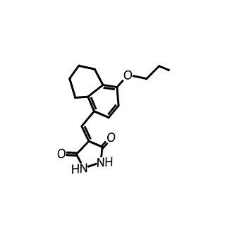 CCCOc1ccc(C=C2C(=O)NNC2=O)c2c1CCCC2